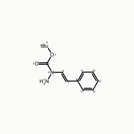 CC(C)(C)OC(=O)N(N)C=Cc1ccccc1